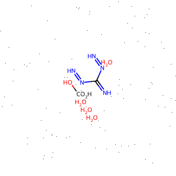 N=NC(=N)N=N.O.O.O.O.O=C(O)O